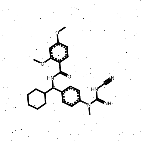 COc1ccc(C(=O)NC(c2ccc(N(C)C(=N)NC#N)cc2)C2CCCCC2)c(OC)c1